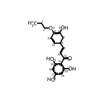 CCCOC1=C(O)CC(/C=C/C(=O)c2c(O)cc(O)cc2O)C=C1